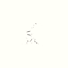 CCOC(=O)OCOc1ccc(-c2nc(N)sc2C(=O)C(C)(C)C)o1